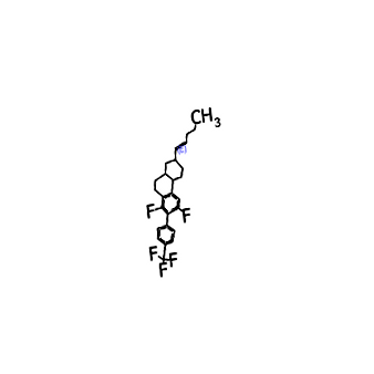 CCC/C=C/C1CCC2c3cc(F)c(-c4ccc(C(F)(F)F)cc4)c(F)c3CCC2C1